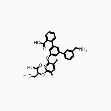 CCC(Oc1nc(Oc2cc(-c3cccc(CN)c3)cc(-c3ccccc3C(=O)O)c2)c(F)cc1F)C(=O)O